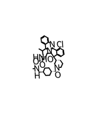 CNC[C@H]1CC[C@H](C(=O)N2CCC[C@@H]([C@@](O)(CCCNC(=O)OC)c3cccc(Cl)c3-c3nc(C(C)C)c4ccccc4n3)C2)CC1